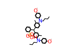 CCCCN(c1ccc(OC)cc1)c1ccc(C(c2ccc(N(CCCC)c3ccc(OC)cc3)c(C)c2)c2ccccc2S(=O)(=O)O)cc1C